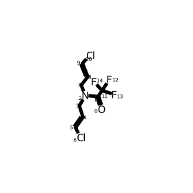 O=C(N(CC=CCl)CC=CCl)C(F)(F)F